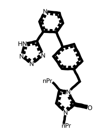 CCCc1cn(CCC)c(=O)n1Cc1ccc(-c2ccncc2-c2nnn[nH]2)cc1